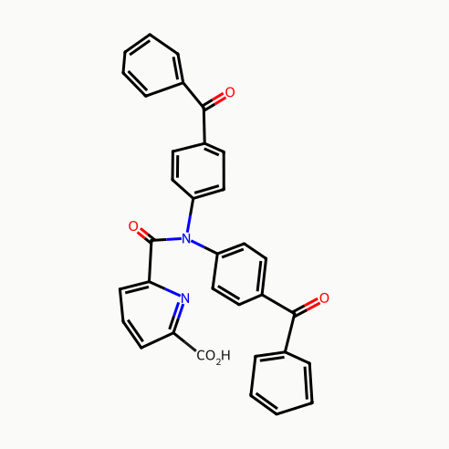 O=C(c1ccccc1)c1ccc(N(C(=O)c2cccc(C(=O)O)n2)c2ccc(C(=O)c3ccccc3)cc2)cc1